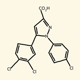 O=C(O)c1cc(-c2ccc(Cl)c(Cl)c2)n(-c2ccc(Cl)cc2)n1